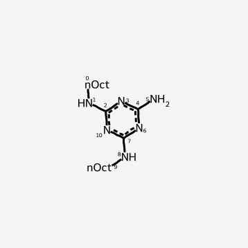 CCCCCCCCNc1nc(N)nc(NCCCCCCCC)n1